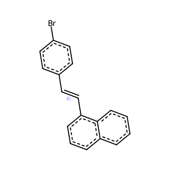 Brc1ccc(/C=C/c2cccc3ccccc23)cc1